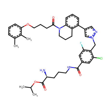 Cc1cccc(OCCCC(=O)N2CCCc3c(-c4cnn(Cc5c(F)cc(C(=O)NCCC[C@H](N)C(=O)OC(C)C)cc5Cl)c4)cccc32)c1C